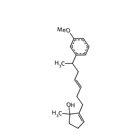 COc1cccc(C(C)C/C=C/CCC2=CCCC2(C)O)c1